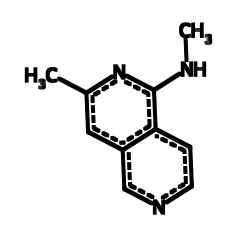 CNc1nc(C)cc2cnccc12